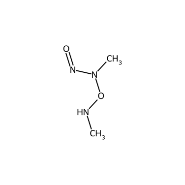 CNON(C)N=O